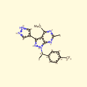 COc1nc(C)nc2c1c(-c1cn[nH]c1)nn2C(C)c1ccc(C(F)(F)F)cc1